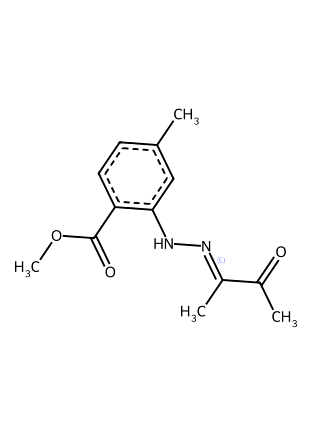 COC(=O)c1ccc(C)cc1N/N=C(\C)C(C)=O